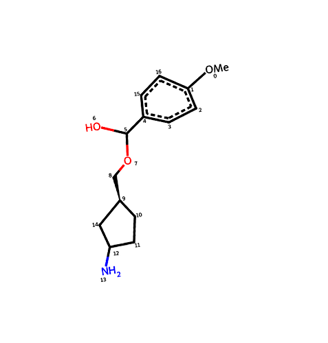 COc1ccc(C(O)OC[C@H]2CCC(N)C2)cc1